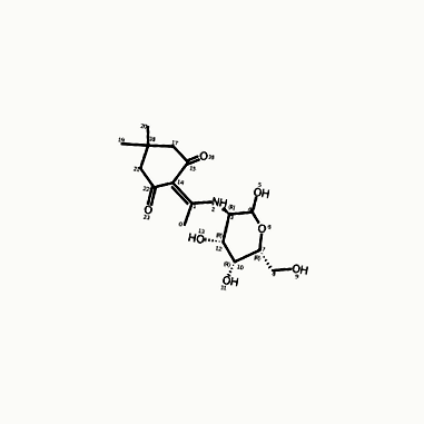 CC(N[C@H]1C(O)O[C@H](CO)[C@H](O)[C@@H]1O)=C1C(=O)CC(C)(C)CC1=O